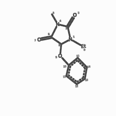 CCN1C(=O)N(C)C(=O)C1Oc1ccccc1